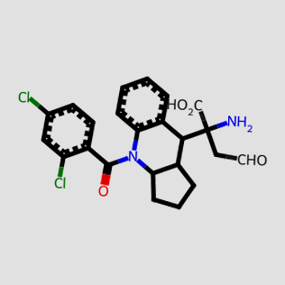 NC(CC=O)(C(=O)O)C1c2ccccc2N(C(=O)c2ccc(Cl)cc2Cl)C2CCCC21